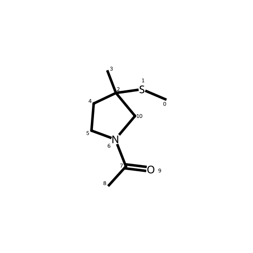 CSC1(C)CCN(C(C)=O)C1